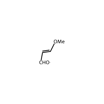 COC=C[C]=O